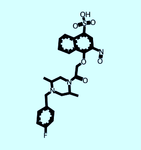 CC1CN(C(=O)COc2c(N=O)cc(S(=O)(=O)O)c3ccccc23)C(C)CN1Cc1ccc(F)cc1